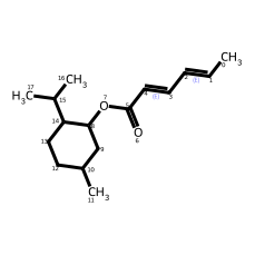 C/C=C/C=C/C(=O)OC1CC(C)CCC1C(C)C